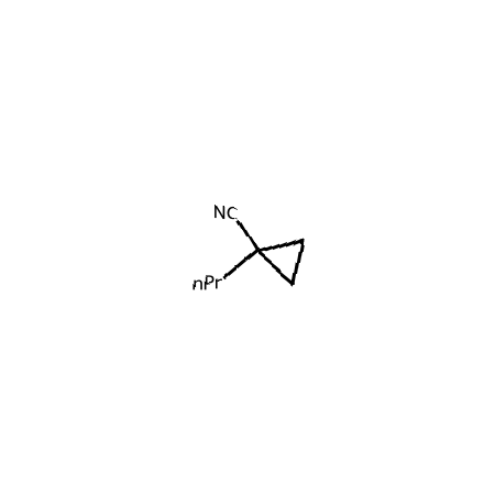 CCCC1(C#N)CC1